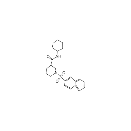 O=C(NC1CCCCC1)C1CCCN(S(=O)(=O)c2ccc3ccccc3c2)C1